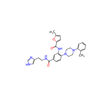 Cc1ccc(C(=O)Nc2cc(C(=O)NCCc3c[nH]cn3)ccc2N2CCN(c3ccccc3C)CC2)o1